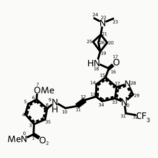 CNC(=O)c1ccc(OC)c(NCC#Cc2cc(C(=O)NC34CC(N(C)C)(C3)C4)c3ncn(CC(F)(F)F)c3c2)c1